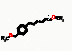 COCCCCCCc1ccc(COC)cc1